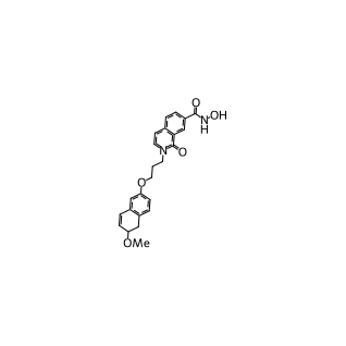 COC1C=Cc2cc(OCCCn3ccc4ccc(C(=O)NO)cc4c3=O)ccc2C1